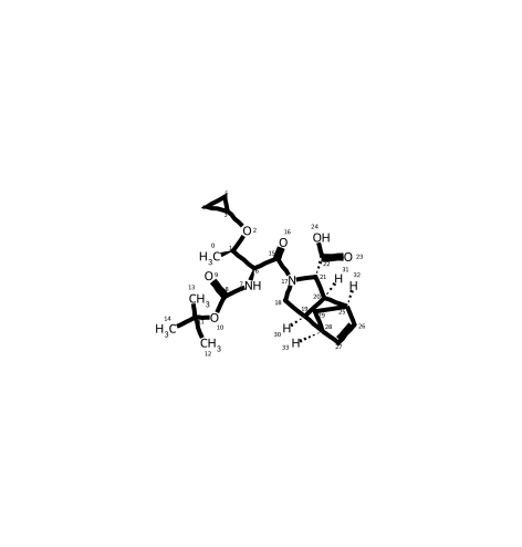 C[C@@H](OC1CC1)[C@H](NC(=O)OC(C)(C)C)C(=O)N1C[C@H]2[C@@H]([C@H]1C(=O)O)[C@H]1C=C[C@@H]2C1